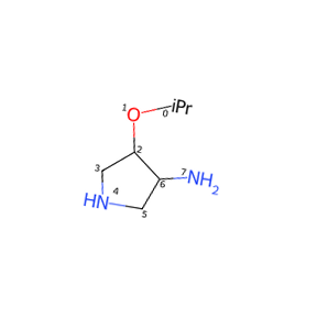 CC(C)OC1CNCC1N